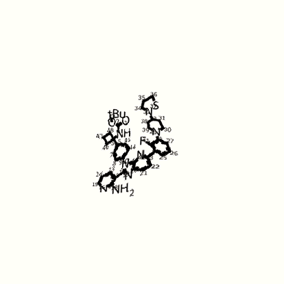 CC(C)(C)OC(=O)NC1(c2ccc(-n3c(-c4cccnc4N)nc4ccc(-c5cccc(N6CCC(N7CCCS7)CC6)c5F)nc43)cc2)CCC1